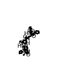 CC[C@@H]1C(=O)N(C)c2cnc(Nc3ccc(C(=O)NCCC(NC(=O)OC(C)(C)C)C(=O)OC4CCCC4)cc3OC)nc2N1C1CCCC1